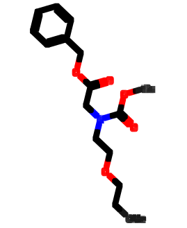 COCCOCCN(CC(=O)OCc1ccccc1)C(=O)OC(C)(C)C